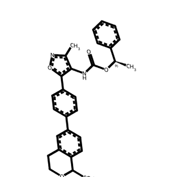 CCOC(=O)C1OCCc2cc(-c3ccc(-c4onc(C)c4NC(=O)O[C@H](C)c4ccccc4)cc3)ccc21